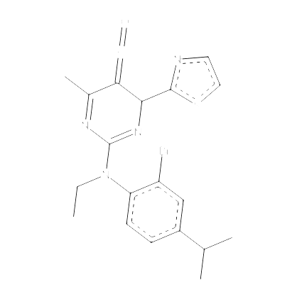 CCN(C1=NC(c2nccs2)C(=C=O)C(C)=N1)c1ccc(C(C)C)cc1Br